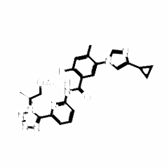 CC(=O)OC[C@H](C)n1nnnc1-c1cccc(NC(=O)c2cc(-n3cnc(C4CC4)c3)c(C)cc2F)n1